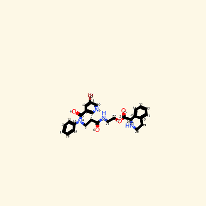 O=C(CCN(C(=O)c1cncc(Br)c1)c1ccccc1)NCCOC(=O)C1NCCc2ccccc21